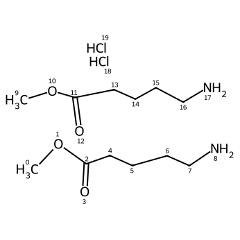 COC(=O)CCCCN.COC(=O)CCCCN.Cl.Cl